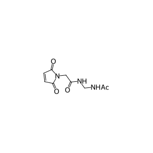 CC(=O)NCNC(=O)CN1C(=O)C=CC1=O